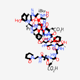 CC[C@H](C)[C@H](NC(=O)[C@H](CO)NC(=O)[C@H](Cc1ccc(O)cc1)NC(=O)[C@H](CC(=O)O)NC(=O)[C@H](CO)NC(=O)[C@@H](NC(=O)[C@H](Cc1ccccc1)NC(=O)[C@@H](NC(=O)CNC(=O)[C@H](CCC(=O)O)NC(=O)C(C)(C)C(=O)NCCN1CCCCC1=O)[C@@H](C)O)[C@@H](C)O)C(=O)N[C@@H](Cc1ccc(O)cc1)C(=O)N[C@@H](CC(C)C)C(=O)N[C@@H](CC(=O)O)C(=O)N[C@H](C)CCCCN